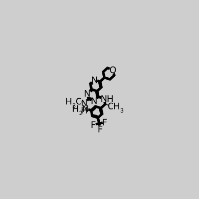 CNc1nc(N[C@H](C)c2cc(N)cc(C(F)(F)F)c2)c2cc(C3CCOCC3)ncc2n1